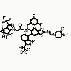 Cn1nc(NS(C)(=O)=O)c2cccc(-c3cc4sc(NCN5CCNC(=O)C5)nc4nc3[C@H](Cc3cc(F)cc(F)c3)NC(=O)Cn3nc(C(F)(F)F)c4c3C(F)(F)[C@@H]3C[C@H]43)c21